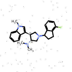 CN(C)[C@H]1CN(C2CCc3c(F)cccc32)C[C@@H]1c1cn(C)c2ccccc12